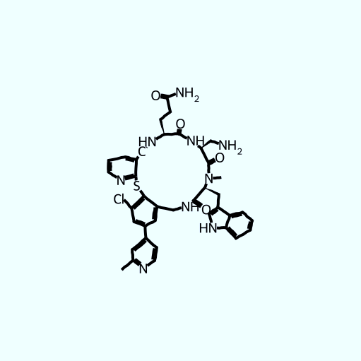 Cc1cc(-c2cc(Cl)c3c(c2)CNC(=O)[C@H](Cc2c[nH]c4ccccc24)N(C)C(=O)[C@H](CN)NC(=O)[C@H](CCC(N)=O)NCc2cccnc2S3)ccn1